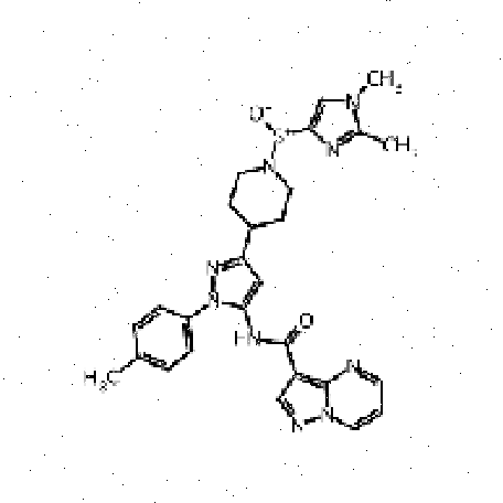 Cc1ccc(-n2nc(C3CCN([S+]([O-])c4cn(C)c(C)n4)CC3)cc2NC(=O)c2cnn3cccnc23)cc1